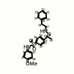 COc1ccc(NS(=O)(=O)c2ccc(/C(C)=N\NCCc3ccccc3)cc2)cc1